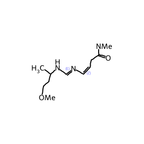 CNC(=O)C/C=C\N=C\NC(C)CCOC